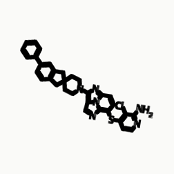 Nc1nccc(Sc2ccc3nc(N4CCC5(CC4)Cc4ccc(-c6ccccc6)cc4C5)c4cnc2n34)c1Cl